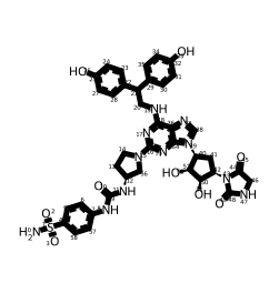 NS(=O)(=O)c1ccc(NC(=O)N[C@@H]2CCN(c3nc(NCC(c4ccc(O)cc4)c4ccc(O)cc4)c4ncn([C@@H]5C[C@H](N6C(=O)CNC6=O)[C@@H](O)[C@H]5O)c4n3)C2)cc1